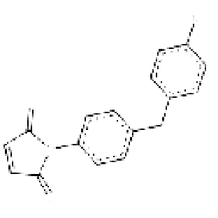 Cc1ccc(Cc2ccc(N3C(=O)C=CC3=O)cc2)cc1